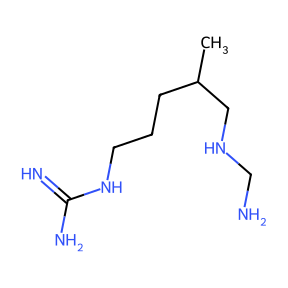 CC(CCCNC(=N)N)CNCN